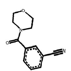 N#Cc1cccc(C(=O)N2CCOCC2)c1